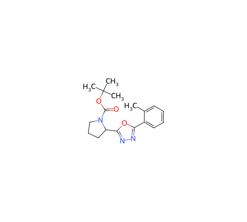 Cc1ccccc1-c1nnc(C2CCCN2C(=O)OC(C)(C)C)o1